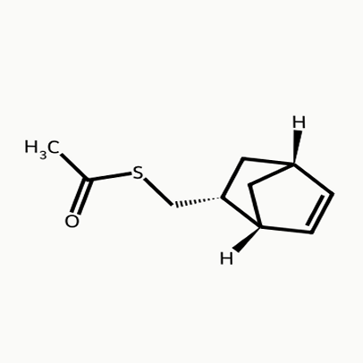 CC(=O)SC[C@@H]1C[C@@H]2C=C[C@H]1C2